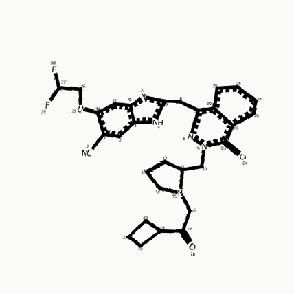 N#Cc1cc2[nH]c(Cc3nn(CC4CCCN4CC(=O)C4CCC4)c(=O)c4ccccc34)nc2cc1OCC(F)F